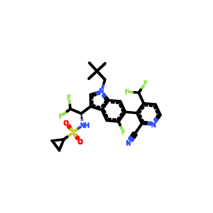 CC(C)(C)Cn1cc([C@H](NS(=O)(=O)C2CC2)C(F)F)c2cc(F)c(-c3c(C(F)F)ccnc3C#N)cc21